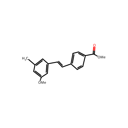 COC(=O)c1ccc(C=Cc2cc(C)cc(OC)c2)cc1